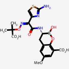 COc1cc2c(c(C(=O)O)c1)OB(O)[C@@H](NC(=O)/C(=N\OC(C)(C)C(=O)O)c1csc(N)n1)C2